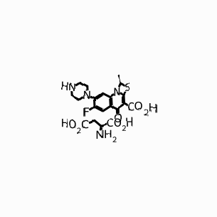 C[C@H]1Sc2c(C(=O)O)c(=O)c3cc(F)c(N4CCNCC4)cc3n21.NC(CC(=O)O)C(=O)O